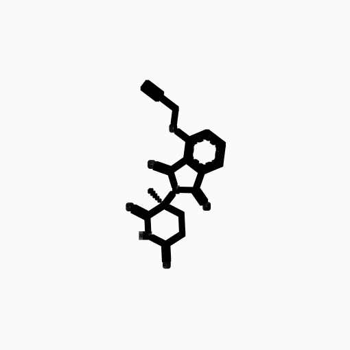 C#CCOc1cccc2c1C(=O)N([C@@]1(C)CCC(=O)NC1=O)C2=O